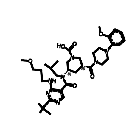 COCCCNc1nc(C(C)(C)C)ncc1C(=O)N(CC(C)C)[C@H]1C[C@@H](C(=O)N2CCN(c3ccccc3OC)CC2)CN(C(=O)O)C1